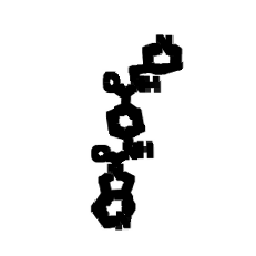 O=C(NCc1cccnc1)c1ccc(NC(=O)N2Cc3ccncc3C2)cc1